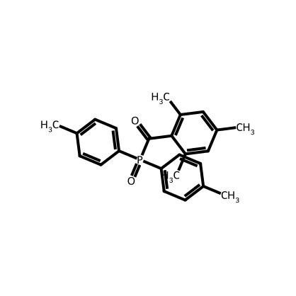 Cc1ccc(P(=O)(C(=O)c2c(C)cc(C)cc2C)c2ccc(C)cc2)cc1